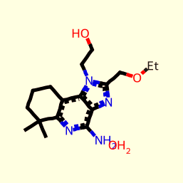 CCOCc1nc2c(N)nc3c(c2n1CCO)CCCC3(C)C.O